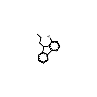 CCCC1c2ccccc2-c2ccc[c]([Hf])c21